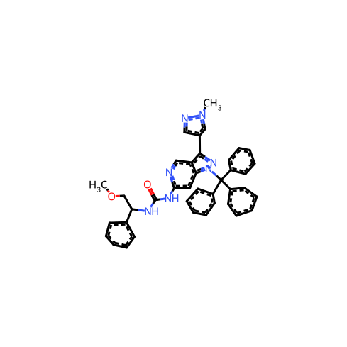 COCC(NC(=O)Nc1cc2c(cn1)c(-c1cnn(C)c1)nn2C(c1ccccc1)(c1ccccc1)c1ccccc1)c1ccccc1